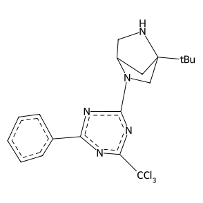 CC(C)(C)C12CC(CN1)N(c1nc(-c3ccccc3)nc(C(Cl)(Cl)Cl)n1)C2